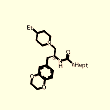 CCCCCCCC(=O)N[C@@H](Cc1ccc2c(c1)OCCO2)CN1CCC(CC)CC1